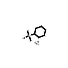 C[N+](C)([O-])C1CCCCC1.O